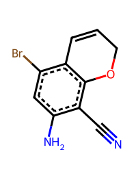 N#Cc1c(N)cc(Br)c2c1OCC=C2